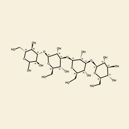 OC[C@H]1O[C@@H](O[C@@H]2[C@@H](O)[C@H](O[C@@H]3[C@@H](O)[C@H](O[C@H]4[C@H](O)[C@@H](CO)OC(O)[C@@H]4O)O[C@H](CO)[C@H]3O)O[C@H](CO)[C@H]2O)[C@H](O)[C@@H](O)[C@@H]1O